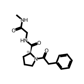 CNC(=O)CNC(=O)[C@@H]1CCCN1C(=O)Cc1ccccc1